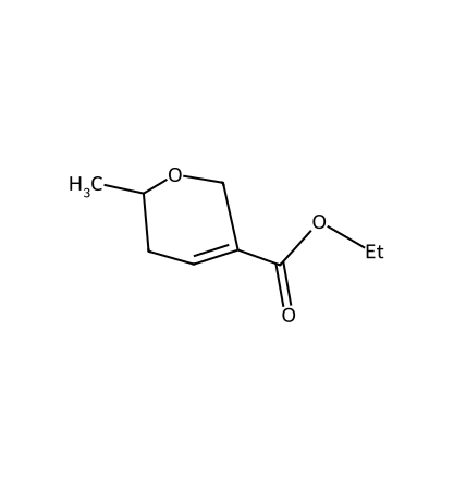 CCOC(=O)C1=CCC(C)OC1